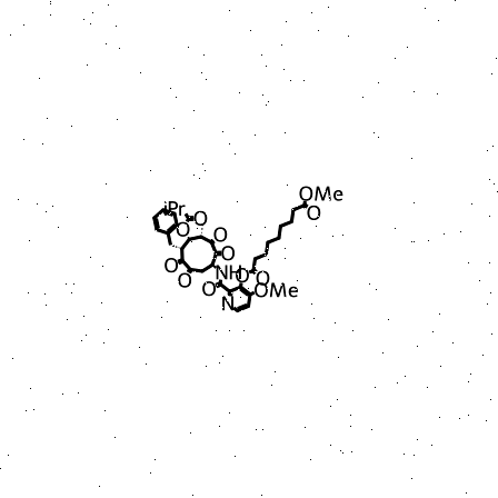 COC(=O)CCCCCCCC(=O)Oc1c(OC)ccnc1C(=O)N[C@H]1CC(=O)C(=O)[C@H](Cc2ccccc2)[C@H](OC(=O)C(C)C)[C@H](C)C(=O)C1=O